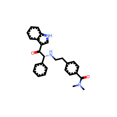 CN(C)C(=O)c1ccc(CCN[C@@H](C(=O)c2c[nH]c3ccccc23)c2ccccc2)cc1